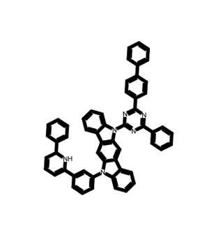 C1=CC(c2ccccc2)NC(c2cccc(-n3c4ccccc4c4cc5c(cc43)c3ccccc3n5-c3nc(-c4ccccc4)nc(-c4ccc(-c5ccccc5)cc4)n3)c2)=C1